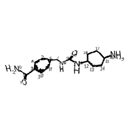 NC(=O)c1ccc(CNC(=O)NC2CCC(N)CC2)cc1